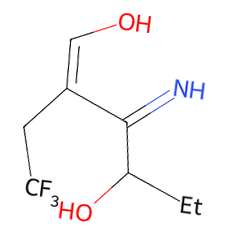 CCC(O)C(=N)/C(=C\O)CC(F)(F)F